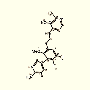 COc1c(CCNc2ncnc(N)c2C#N)cc(Cl)c(F)c1-c1cnc(N)nc1